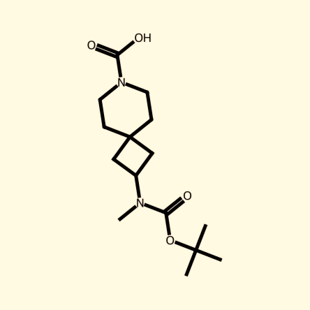 CN(C(=O)OC(C)(C)C)C1CC2(CCN(C(=O)O)CC2)C1